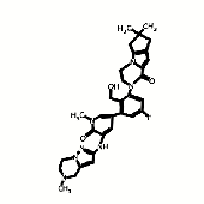 CN1CCn2nc(Nc3cc(-c4cc(F)cc(N5CCn6c(cc7c6CC(C)(C)C7)C5=O)c4CO)cn(C)c3=O)cc2C1